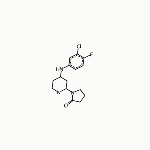 O=C1CCCN1C1CC(Nc2ccc(F)c(Cl)c2)CC[N]1